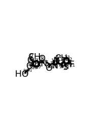 COc1cc(C(=O)NCC(=O)c2cn(C)c(-c3csc4c(F)cccc34)n2)ccc1OCCO